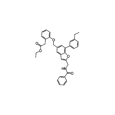 CCOC(=O)Cc1ccccc1OCc1cc(-c2cccc(CC)c2)c2oc(CNC(=O)c3ccccc3)cc2c1